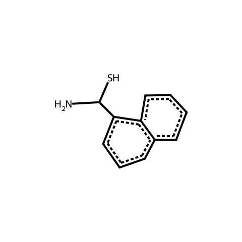 NC(S)c1cccc2ccccc12